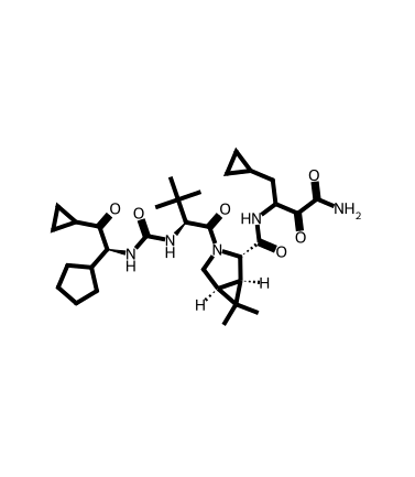 CC(C)(C)[C@H](NC(=O)N[C@H](C(=O)C1CC1)C1CCCC1)C(=O)N1C[C@H]2[C@@H]([C@H]1C(=O)NC(CC1CC1)C(=O)C(N)=O)C2(C)C